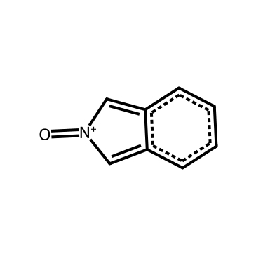 O=[N+]1C=c2ccccc2=C1